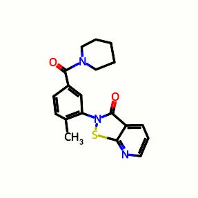 Cc1ccc(C(=O)N2CCCCC2)cc1-n1sc2ncccc2c1=O